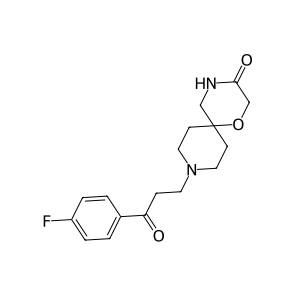 O=C1COC2(CCN(CCC(=O)c3ccc(F)cc3)CC2)CN1